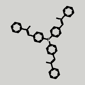 C/C(=C\c1ccc(P(c2ccc(/C=C(\C)c3ccccc3)cc2)c2ccc(/C=C(\C)c3ccccc3)cc2)cc1)c1ccccc1